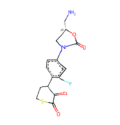 NC[C@H]1CN(c2ccc(C3CCSC(=O)C3=O)c(F)c2)C(=O)O1